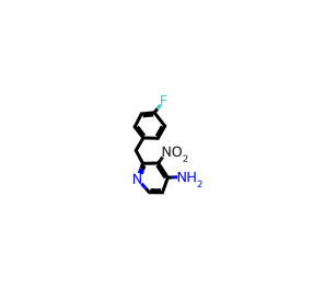 Nc1ccnc(Cc2ccc(F)cc2)c1[N+](=O)[O-]